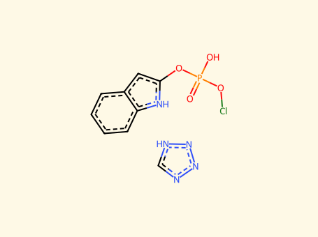 O=P(O)(OCl)Oc1cc2ccccc2[nH]1.c1nnn[nH]1